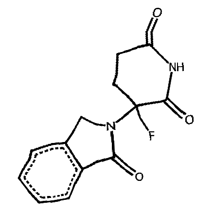 O=C1CCC(F)(N2Cc3ccccc3C2=O)C(=O)N1